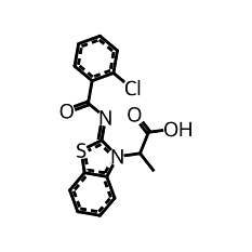 CC(C(=O)O)n1c(=NC(=O)c2ccccc2Cl)sc2ccccc21